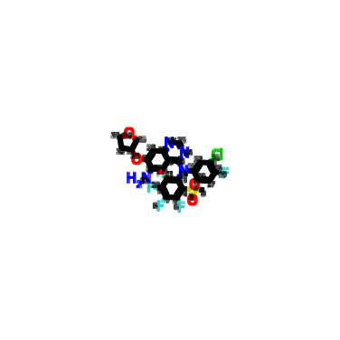 CS(=O)(=O)c1c(F)c(F)c(F)c(F)c1N(c1ccc(F)c(Cl)c1)c1ncnc2cc(O[C@H]3CCOC3)c(N)cc12